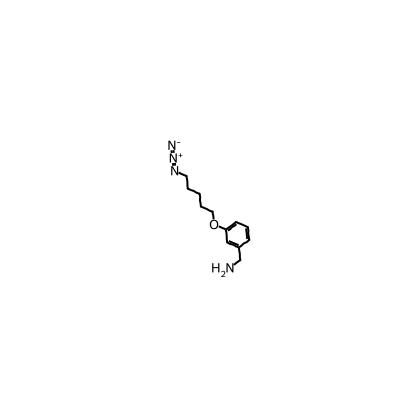 [N-]=[N+]=NCCCCCOc1cccc(CN)c1